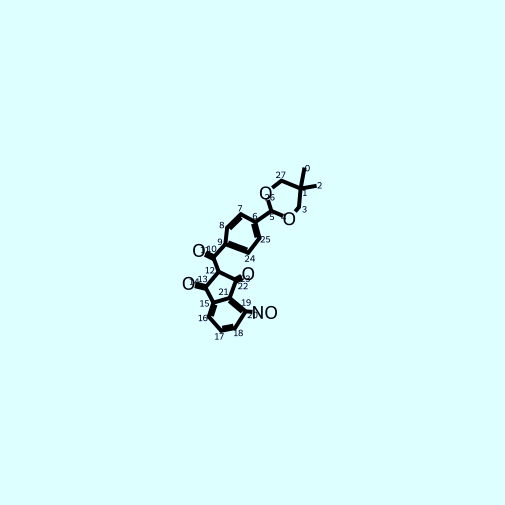 CC1(C)COC(c2ccc(C(=O)C3C(=O)c4cccc(N=O)c4C3=O)cc2)OC1